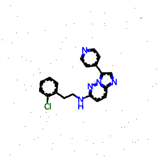 Clc1ccccc1CCNc1ccc2ncc(-c3ccncc3)n2n1